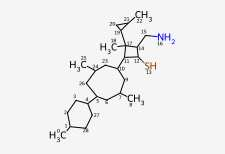 CC1CCC(C2CC(C)CC(C3C(S)C(CN)C3(C)C3CC3C)CC(C)C2)CC1